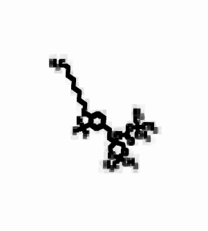 CCCCCCCCSc1ccc(CCC2(NC(=O)OC(C)(C)C)COC(C)(C)OC2)cc1C(F)(F)F